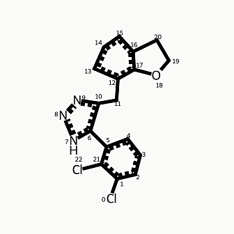 Clc1cccc(-c2[nH]nnc2Cc2cccc3c2OCC3)c1Cl